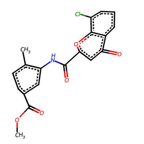 COC(=O)c1ccc(C)c(NC(=O)c2cc(=O)c3cccc(Cl)c3o2)c1